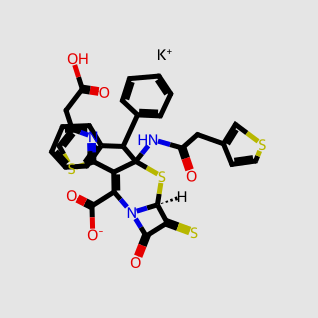 O=C(O)Cc1csc(C2=C(C(=O)[O-])N3C(=O)C(=S)[C@@H]3SC2(NC(=O)Cc2ccsc2)C(c2ccccc2)c2ccccc2)n1.[K+]